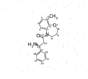 Cc1cccc2c1OCCCN2C(=O)C[C@H](N)c1ccccc1